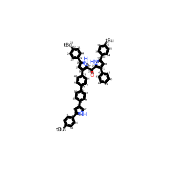 CC(C)(C)c1ccc(-c2cc(-c3ccc(-c4ccc(-c5cc(-c6ccc(C(C)(C)C)cc6)[nH]c5C(=O)c5[nH]c(-c6ccc(C(C)(C)C)cc6)cc5-c5ccccc5)cc4)cc3)c[nH]2)cc1